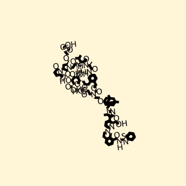 Cc1c(-c2ccc(N3CCc4cccc(C(=O)Nc5nc6ccccc6s5)c4C3)nc2C(=O)O)cnn1CC12CC3(C)CC(C)(C1)CC(OCCN(CCS(=O)(=O)O)C(=O)OCc1ccc(NC(=O)[C@H](C)NC(=O)[C@@H](NC(=O)CN4C(=O)[C@@H](N5C(=O)C=CC5=O)C[C@H]4COCCS(=O)(=O)O)C(C)C)cc1CCC[C@@H]1O[C@H](C(=O)O)[C@@H](O)[C@H](O)[C@H]1O)(C3)C2